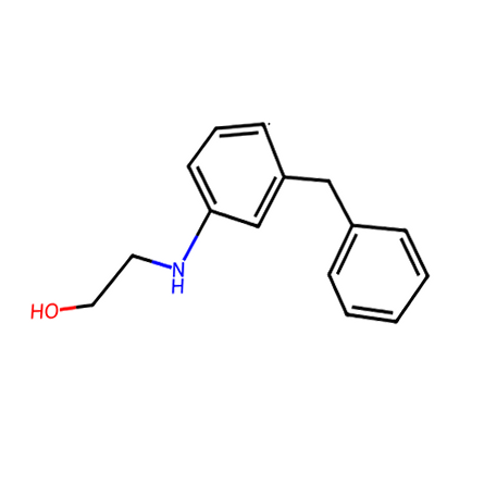 OCCNc1cc[c]c(Cc2ccccc2)c1